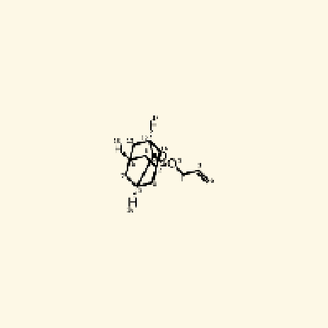 C=CCO[C@]12C[C@@H]3C[C@H](C1)C(=O)[C@@H](C3)C2